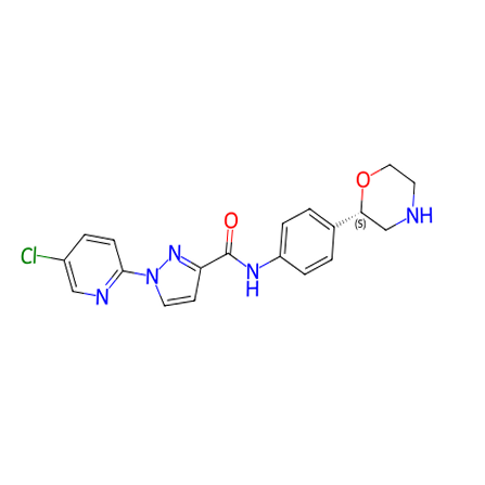 O=C(Nc1ccc([C@H]2CNCCO2)cc1)c1ccn(-c2ccc(Cl)cn2)n1